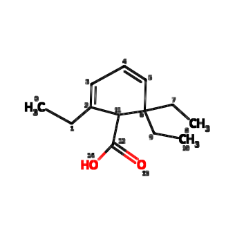 CCC1=CC=CC(CC)(CC)C1C(=O)O